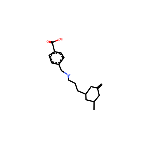 C=C1CC(C)CC(CCCNCc2ccc(C(=O)O)cc2)C1